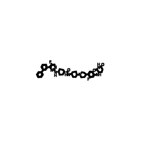 O=C1CCC(Nc2ccc(C3CCN(C4CCC(NC(=O)[C@H]5CC[C@H](Nc6ncc(F)c(-c7cccc(-c8ccccc8)c7)n6)CC5)CC4)CC3)c(F)c2)C(=O)N1